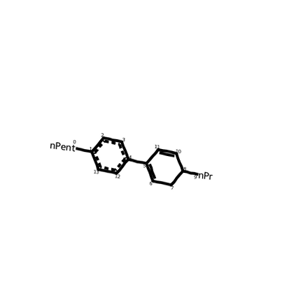 CCCCCc1ccc(C2=CCC(CCC)C=C2)cc1